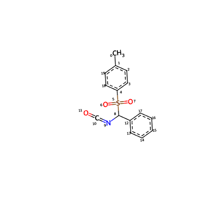 Cc1ccc(S(=O)(=O)C(N=C=O)c2ccccc2)cc1